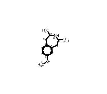 COc1ccc2c(c1)CC(C)NC(C)C2